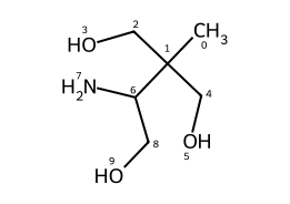 CC(CO)(CO)C(N)CO